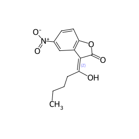 CCCC/C(O)=C1/C(=O)Oc2ccc([N+](=O)[O-])cc21